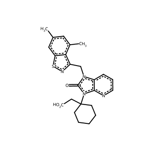 Cc1cc(C)c2c(Cn3c(=O)n(C4(CC(=O)O)CCCCC4)c4ncccc43)nsc2c1